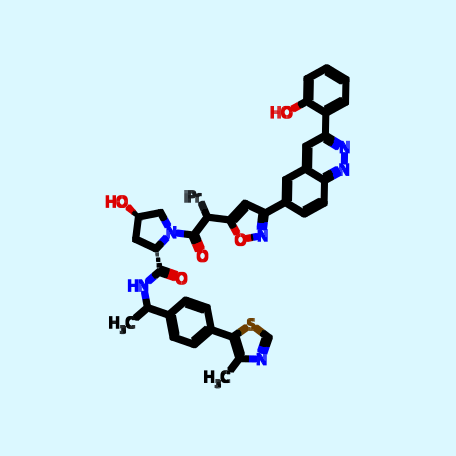 Cc1ncsc1-c1ccc(C(C)NC(=O)[C@@H]2C[C@@H](O)CN2C(=O)C(c2cc(-c3ccc4nnc(-c5ccccc5O)cc4c3)no2)C(C)C)cc1